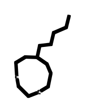 CCCCCC1CCCCCCCCC1